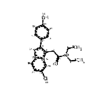 CCN(CC)C(=O)Cc1c(-c2ccc(O)cc2)nc2ccc(Cl)cn12